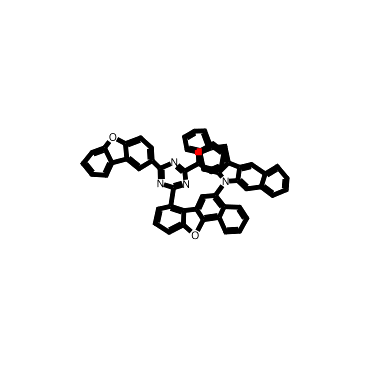 c1ccc(-c2nc(-c3ccc4oc5ccccc5c4c3)nc(-c3cccc4oc5c6ccccc6c(-n6c7cc8ccccc8cc7c7cc8ccccc8cc76)cc5c34)n2)cc1